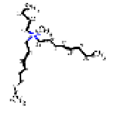 CCCCCCCC[N+](C)(CCC[SiH3])CCCCCCCC